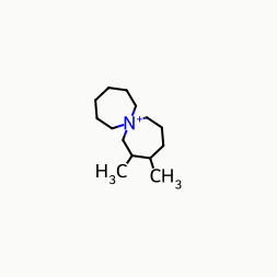 CC1CCC[N+]2(CCCCCC2)CC1C